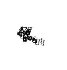 CC(C)OC(=O)N1CCN([C@H]2c3ccc(Cl)cc3C([C@@H](NC(=O)C3(O)CC3)c3cncn3C)=Cc3cccnc32)CC1